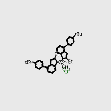 [CH2]=[Zr+2]([CH]1C(CC)=Cc2c(-c3ccc(C(C)(C)C)cc3)cccc21)[CH]1C(CC)=Cc2c(-c3ccc(C(C)(C)C)cc3)cccc21.[Cl-].[Cl-]